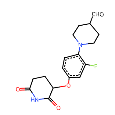 O=CC1CCN(c2ccc(OC3CCC(=O)NC3=O)cc2F)CC1